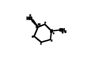 NN1CCC[C@@H](O)C1